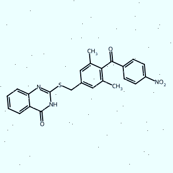 Cc1cc(CSc2nc3ccccc3c(=O)[nH]2)cc(C)c1C(=O)c1ccc([N+](=O)[O-])cc1